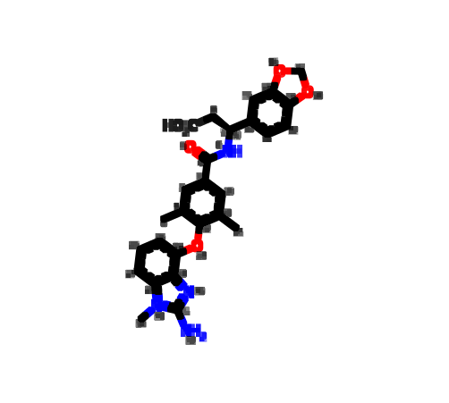 Cc1cc(C(=O)N[C@@H](CC(=O)O)c2ccc3c(c2)OCO3)cc(C)c1Oc1cccc2c1nc(N)n2C